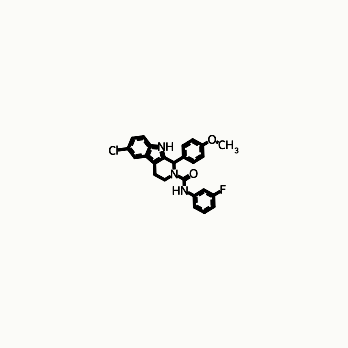 COc1ccc(C2c3[nH]c4ccc(Cl)cc4c3CCN2C(=O)Nc2cccc(F)c2)cc1